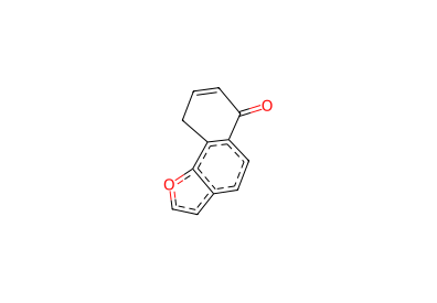 O=C1C=CCc2c1ccc1ccoc21